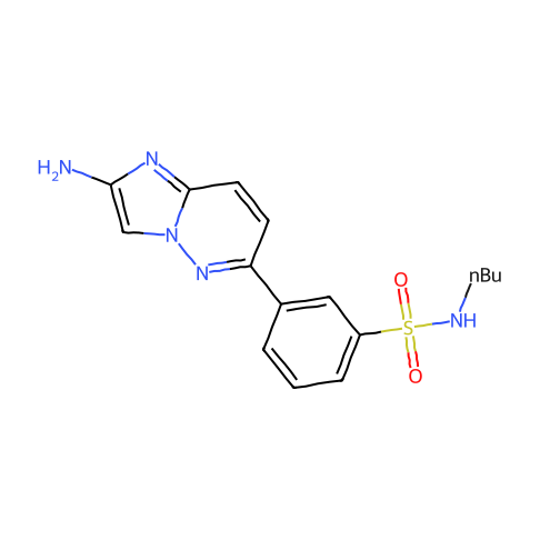 CCCCNS(=O)(=O)c1cccc(-c2ccc3nc(N)cn3n2)c1